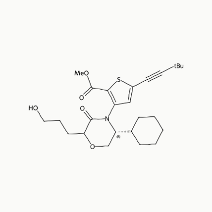 COC(=O)c1sc(C#CC(C)(C)C)cc1N1C(=O)C(CCCO)OC[C@H]1C1CCCCC1